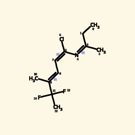 CC\C(C)=N/C(Cl)=C\C=C(/C)C(C)(F)F